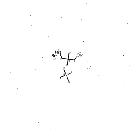 CC(C)(CO)CO.C[N+](C)(C)C.[Br-]